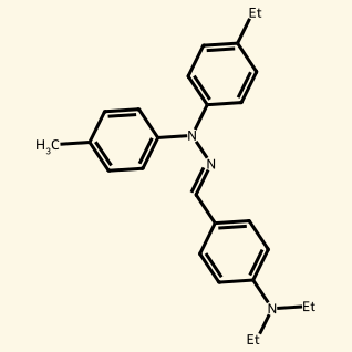 CCc1ccc(N(/N=C/c2ccc(N(CC)CC)cc2)c2ccc(C)cc2)cc1